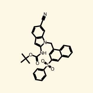 CC(C)(C)OC(=O)Nc1cc2ccc(C#N)cc2n1Cc1cc(S(=O)(=O)c2ccccc2)cc2ccccc12